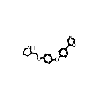 c1ncc(-c2ccc(Oc3ccc(OCC4CCCN4)cc3)cc2)o1